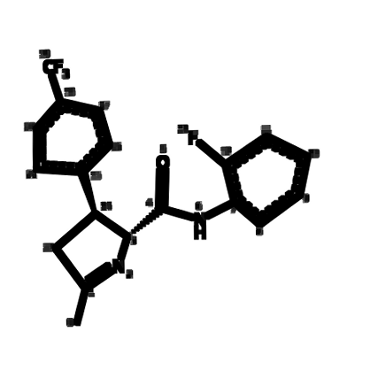 CC1=N[C@@H](C(=O)Nc2ccccc2F)[C@H](c2ccc(C(F)(F)F)cc2)C1